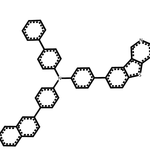 c1ccc(-c2ccc(N(c3ccc(-c4ccc5ccccc5c4)cc3)c3ccc(-c4ccc5sc6ccncc6c5c4)cc3)cc2)cc1